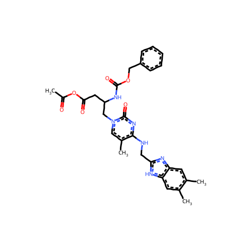 CC(=O)OC(=O)CC(Cn1cc(C)c(NCc2nc3cc(C)c(C)cc3[nH]2)nc1=O)NC(=O)OCc1ccccc1